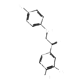 O=C(CNc1ccc(Br)cc1)c1ccc(O)c(O)c1